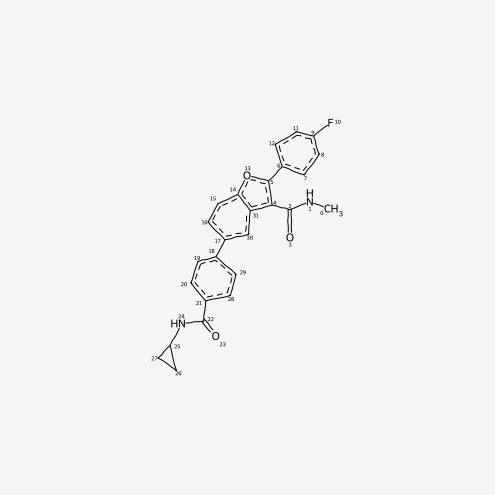 CNC(=O)c1c(-c2ccc(F)cc2)oc2ccc(-c3ccc(C(=O)NC4CC4)cc3)cc12